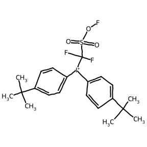 CC(C)(C)c1ccc([I+](c2ccc(C(C)(C)C)cc2)C(F)(F)S(=O)(=O)OF)cc1